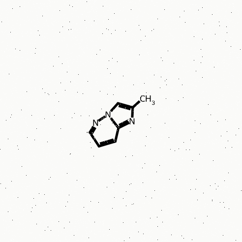 Cc1cn2n[c]ccc2n1